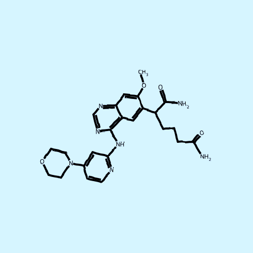 COc1cc2ncnc(Nc3cc(N4CCOCC4)ccn3)c2cc1C(CCCC(N)=O)C(N)=O